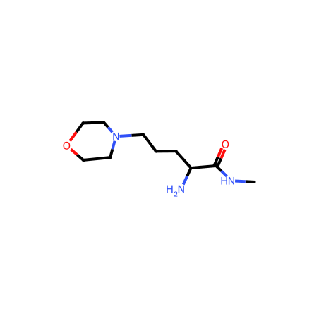 CNC(=O)C(N)CCCN1CCOCC1